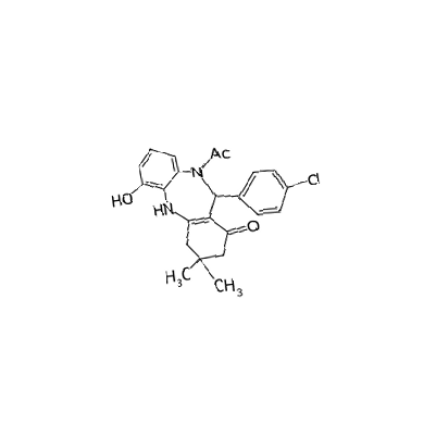 CC(=O)N1c2cccc(O)c2NC2=C(C(=O)CC(C)(C)C2)C1c1ccc(Cl)cc1